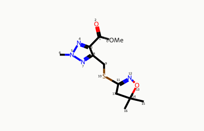 COC(=O)c1nn(C)nc1CSC1=NOC(C)(C)C1